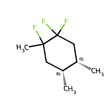 C[C@@H]1CC(C)(F)C(F)(F)C[C@@H]1C